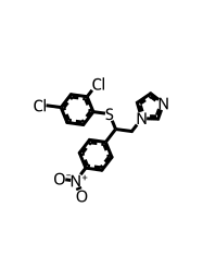 O=[N+]([O-])c1ccc(C(Cn2ccnc2)Sc2ccc(Cl)cc2Cl)cc1